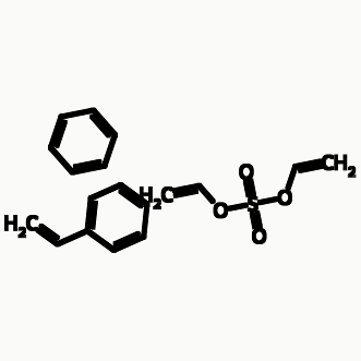 C=COS(=O)(=O)OC=C.C=Cc1ccccc1.c1ccccc1